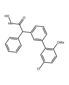 COc1ccc(Cl)cc1-c1cccc(C(C(=O)NO)c2ccccc2)c1